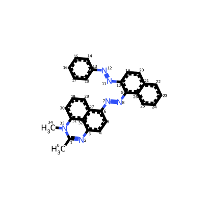 CC1=Nc2ccc(N=Nc3c(N=Nc4ccccc4)ccc4ccccc34)c3cccc(c23)N1C